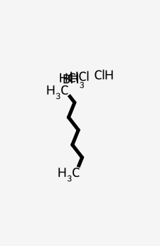 B.CCCCCCC.Cl.Cl.Cl